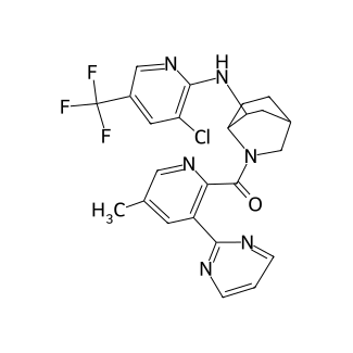 Cc1cnc(C(=O)N2CC3CCC2C(Nc2ncc(C(F)(F)F)cc2Cl)C3)c(-c2ncccn2)c1